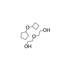 C1CCC(OC2CCC2)C1.OCCOCCO